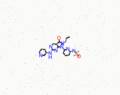 C=CCn1c(=O)c2cnc(Nc3cccnc3)nc2n1-c1cccc(N=S(C)(C)=O)n1